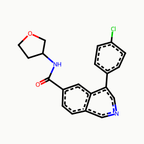 O=C(NC1CCOC1)c1ccc2cncc(-c3ccc(Cl)cc3)c2c1